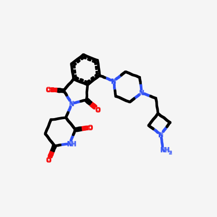 NN1CC(CN2CCN(c3cccc4c3C(=O)N(C3CCC(=O)NC3=O)C4=O)CC2)C1